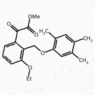 CCOc1cccc(C(=O)C(=O)OC)c1COc1cc(C)c(C)cc1C